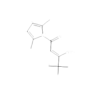 CN/C(=C\C(=N)n1c(C)ccc1C)C(C)(C)O